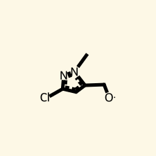 Cn1nc(Cl)cc1C[O]